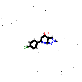 Cn1cc2c(O)cc(-c3ccc(Cl)cc3)nc2n1